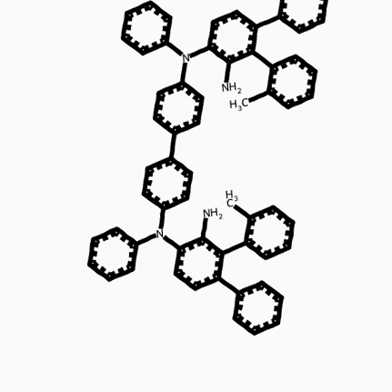 Cc1ccccc1-c1c(-c2ccccc2)ccc(N(c2ccccc2)c2ccc(-c3ccc(N(c4ccccc4)c4ccc(-c5ccccc5)c(-c5ccccc5C)c4N)cc3)cc2)c1N